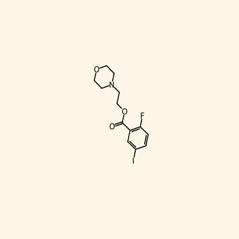 O=C(OCCN1CCOCC1)c1cc(I)ccc1F